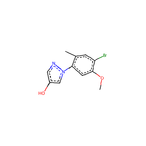 COc1cc(-n2cc(O)cn2)c(C)cc1Br